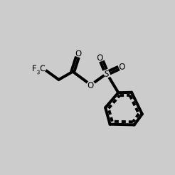 O=C(CC(F)(F)F)OS(=O)(=O)c1ccccc1